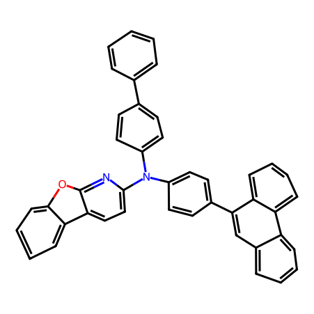 c1ccc(-c2ccc(N(c3ccc(-c4cc5ccccc5c5ccccc45)cc3)c3ccc4c(n3)oc3ccccc34)cc2)cc1